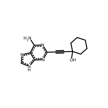 Nc1nc(C#CC2(O)CCCCC2)nc2[nH]cnc12